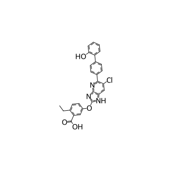 CCc1ccc(Oc2nc3nc(-c4ccc(-c5ccccc5O)cc4)c(Cl)cc3[nH]2)cc1C(=O)O